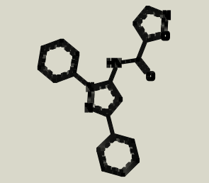 O=C(Nc1cc(-c2ccccc2)nn1-c1ccccc1)c1ccno1